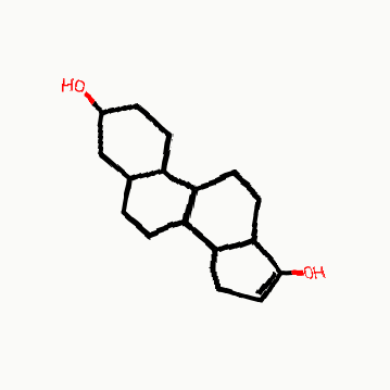 OC1=CCC2C1CCC1C3CCC(O)CC3CCC21